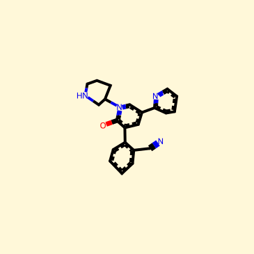 N#Cc1ccccc1-c1cc(-c2ccccn2)cn(C2CCCNC2)c1=O